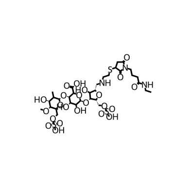 CCNC(=O)CCCN1C(=O)CC(SCCNC[C@@H]2O[C@H](COS(=O)(=O)O)[C@H](O[C@@H]3OC(C(=O)O)[C@@H](O[C@@H]4OC(COS(=O)(=O)O)[C@@H](OC)[C@H](O)C4C)[C@H](O)C3O)C2O)C1=O